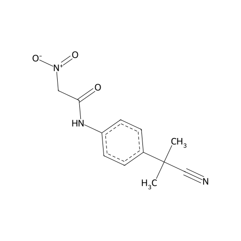 CC(C)(C#N)c1ccc(NC(=O)C[N+](=O)[O-])cc1